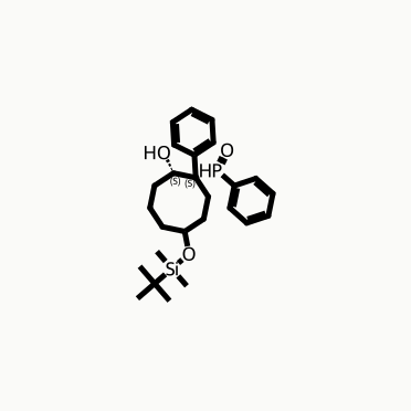 CC(C)(C)[Si](C)(C)OC1CCC[C@H](O)[C@](c2ccccc2)([PH](=O)c2ccccc2)CC1